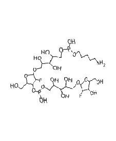 NCCCCCOP(O)OCC(O)C(O)C(O)COC1OC(CO)C(OP(O)OCC(O)C(O)C(O)COC2OC(CO)C(O)C2F)C1F